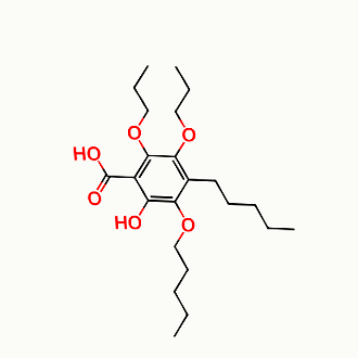 CCCCCOc1c(O)c(C(=O)O)c(OCCC)c(OCCC)c1CCCCC